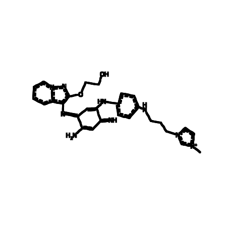 C[n+]1ccn(CCCNc2ccc(NC3=C/C(=N\c4c(OCCO)nn5ccccc45)C(N)=CC3=N)cc2)c1